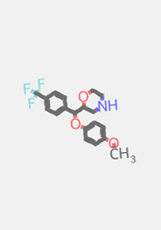 COc1ccc(OC(c2ccc(C(F)(F)F)cc2)C2CNCCO2)cc1